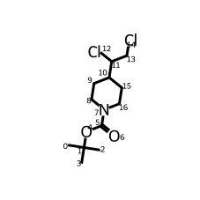 CC(C)(C)OC(=O)N1CCC(C(Cl)CCl)CC1